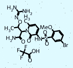 COc1ccc(Br)cc1S(=O)(=O)Nc1ccc(C)n(C(C(N)=O)C(C)ON=C(N)N)c1=O.O=C(O)C(F)(F)F